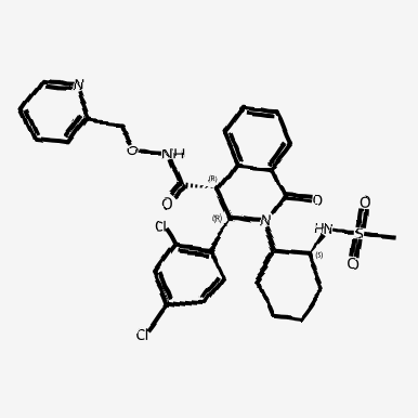 CS(=O)(=O)N[C@H]1CCCCC1N1C(=O)c2ccccc2[C@@H](C(=O)NOCc2ccccn2)[C@@H]1c1ccc(Cl)cc1Cl